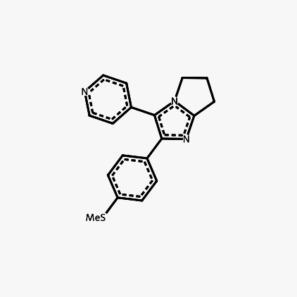 CSc1ccc(-c2nc3n(c2-c2ccncc2)CCC3)cc1